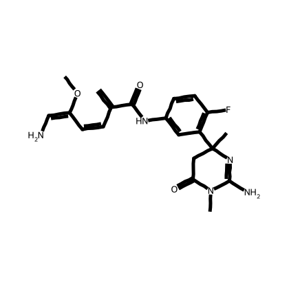 C=C(/C=C\C(=C/N)OC)C(=O)Nc1ccc(F)c(C2(C)CC(=O)N(C)C(N)=N2)c1